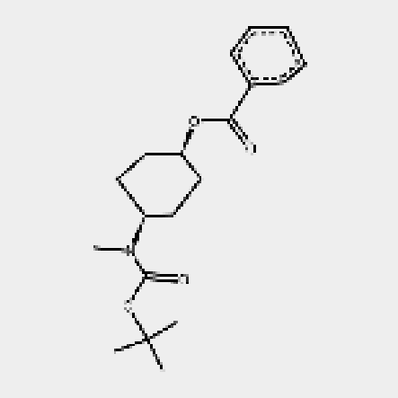 CN(C(=O)OC(C)(C)C)[C@H]1CC[C@@H](OC(=O)c2ccccc2)CC1